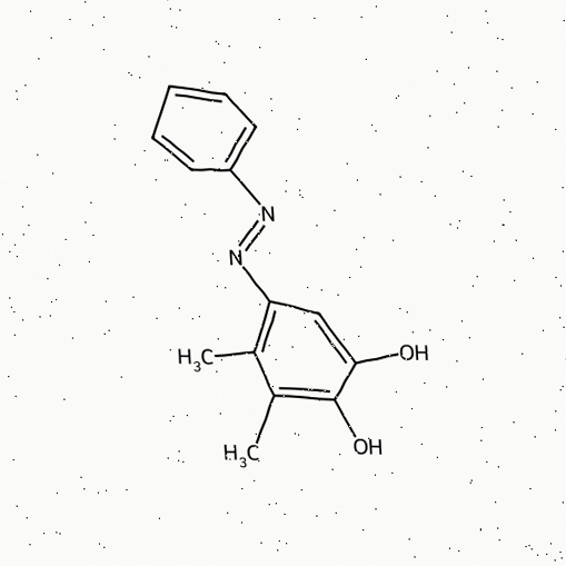 Cc1c(N=Nc2ccccc2)cc(O)c(O)c1C